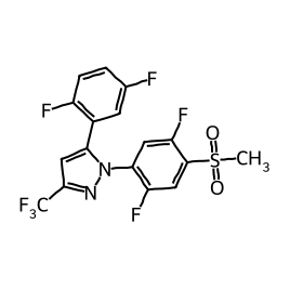 CS(=O)(=O)c1cc(F)c(-n2nc(C(F)(F)F)cc2-c2cc(F)ccc2F)cc1F